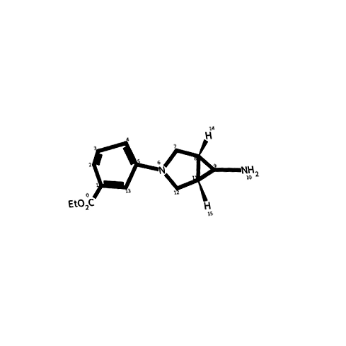 CCOC(=O)c1cccc(N2C[C@@H]3C(N)[C@@H]3C2)c1